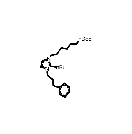 CCCCCCCCCCCCCCCCn1cc[n+](CCCc2ccccc2)c1CCCC